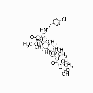 CC(C)C1=C2[C@H]3CC[C@@H]4[C@@]5(C)CC[C@H](OC(=O)[C@H]6C[C@@H](C(=O)O)C6(C)C)C(C)(C)[C@@H]5CC[C@@]4(C)[C@]3(C)CC[C@@]2(CCNCCc2ccc(Cl)cc2)CC1=O